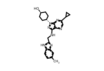 Cc1ccc2[nH]c(CNc3nn([C@H]4CC[C@H](O)CC4)c4nc(C5CC5)cnc34)nc2c1